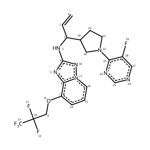 C=CC(Nc1nc2c(OCC(F)(F)C(F)(F)F)cccn2n1)C1CCN(c2ncncc2F)C1